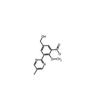 COc1c(-c2ncc(F)cn2)cc(CO)cc1[N+](=O)[O-]